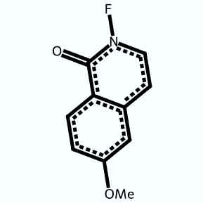 COc1ccc2c(=O)n(F)ccc2c1